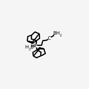 BCCCCC[PH](B)(C12CC3CC(CC(C3)C1)C2)C12CC3CC(CC(C3)C1)C2